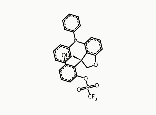 C[C@]1(c2c(O)cccc2OS(=O)(=O)C(F)(F)F)COc2cccc(P(c3ccccc3)c3ccccc3)c21